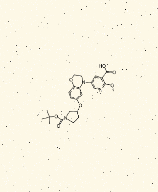 COc1ncc(N2CCOc3ccc(OC4CCN(C(=O)OC(C)(C)C)C4)cc32)cc1C(=O)O